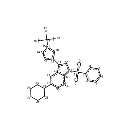 O=S(=O)(c1ccccc1)n1cc(-c2cnn(C(F)(F)F)c2)c2cc(C3CCCCC3)cnc21